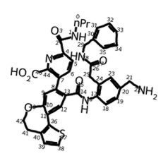 CCCNC(=O)c1ccc(-c2cc3c(cc2C(=O)Nc2ccc(CN)cc2CC(=O)NCc2ccccc2)-c2sccc2CCO3)c(C(=O)O)n1